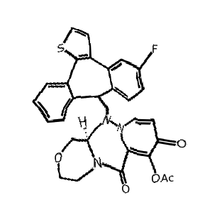 CC(=O)Oc1c2n(ccc1=O)N(C1c3ccc(F)cc3-c3ccsc3-c3ccccc31)[C@@H]1COCCN1C2=O